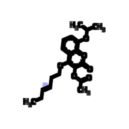 CC/C=C/CCOc1c(OC(C)=O)c(=O)oc2c(OC(C)C)cccc12